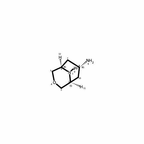 CC(C)N1[C@@H]2COC[C@H]1C[C@H](N)C2